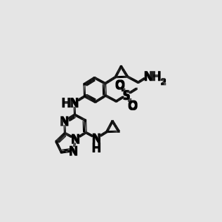 CS(=O)(=O)Cc1cc(Nc2cc(NC3CC3)n3nccc3n2)ccc1C1CC1CN